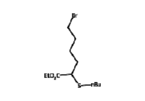 CCCCSC(CCCCBr)C(=O)OCC